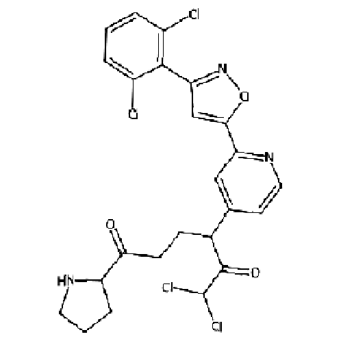 O=C(CCC(C(=O)C(Cl)Cl)c1ccnc(-c2cc(-c3c(Cl)cccc3Cl)no2)c1)C1CCCN1